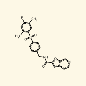 Cc1cc(S(=O)(=O)c2ccc(CNC(=O)c3cc4ccncc4o3)cc2)c(C)cc1F